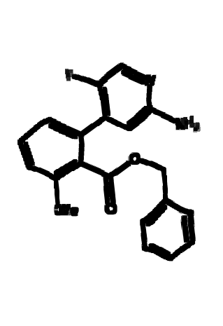 COc1cccc(-c2cc(N)ncc2F)c1C(=O)OCc1ccccc1